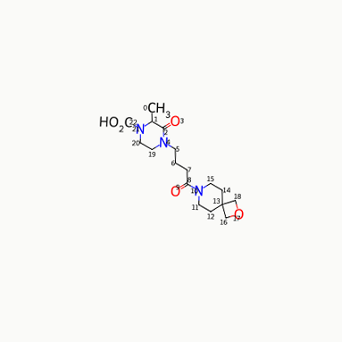 CC1C(=O)N(CCCC(=O)N2CCC3(CC2)COC3)CCN1C(=O)O